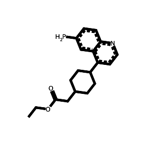 CCOC(=O)CC1CCC(c2ccnc3ccc(P)cc23)CC1